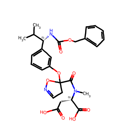 CC(C)[C@H](NC(=O)OCc1ccccc1)c1cccc(OC2(C(=O)N(C)[C@@H](CC(=O)O)C(=O)O)CC=NO2)c1